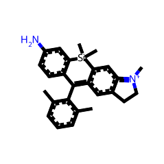 Cc1cccc(C)c1C1=c2cc3c(cc2[Si](C)(C)c2cc(N)ccc21)=[N+](C)CC3